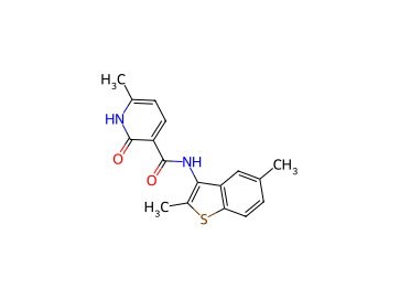 Cc1ccc2sc(C)c(NC(=O)c3ccc(C)[nH]c3=O)c2c1